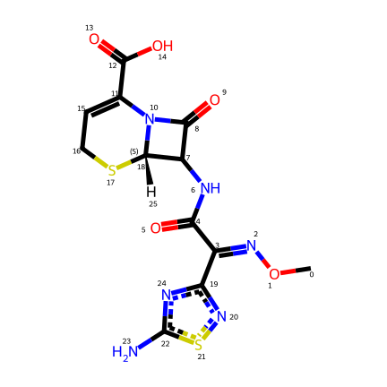 CON=C(C(=O)NC1C(=O)N2C(C(=O)O)=CCS[C@@H]12)c1nsc(N)n1